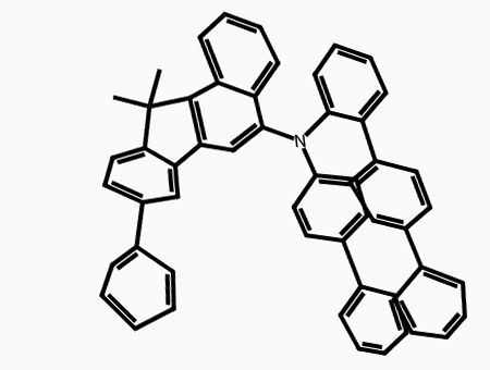 CC1(C)c2ccc(-c3ccccc3)cc2-c2cc(N(c3ccc(-c4ccccc4)cc3)c3ccccc3-c3ccc(-c4ccccc4)cc3)c3ccccc3c21